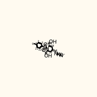 Cc1ccc(S(=O)(=O)N2[C@H](CO)C[C@@H](CN=[N+]=[N-])C[C@@H]2CO)cc1